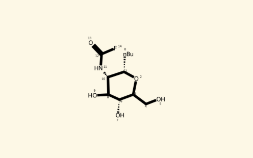 CCCC[C@@H]1OC(CO)[C@H](O)C(O)[C@@H]1NC(=O)F